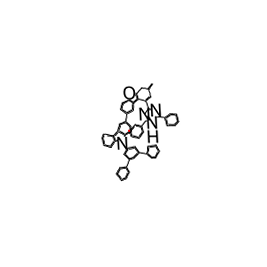 C=C1C=C(C2=NC(c3ccccc3)NC(c3ccccc3)=N2)c2c(oc3ccc(-c4ccc5c(c4)c4ccccc4n5-c4cc(-c5ccccc5)cc(-c5ccccc5)c4)cc23)C1